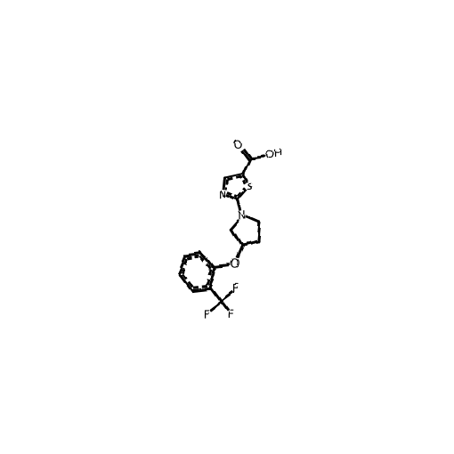 O=C(O)c1cnc(N2CCC(Oc3ccccc3C(F)(F)F)C2)s1